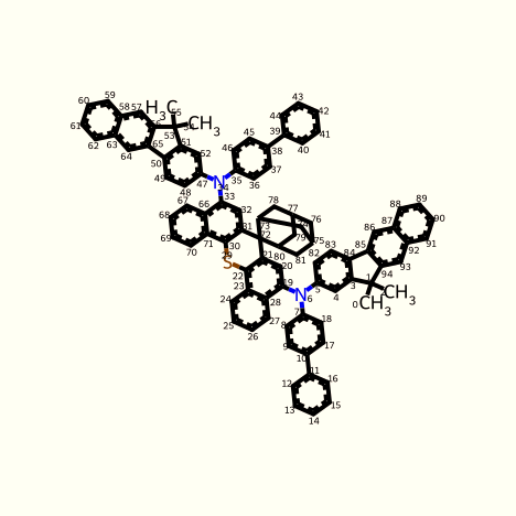 CC1(C)c2cc(N(c3ccc(-c4ccccc4)cc3)c3cc4c(c5ccccc35)Sc3c(cc(N(c5ccc(-c6ccccc6)cc5)c5ccc6c(c5)C(C)(C)c5cc7ccccc7cc5-6)c5ccccc35)C43C4CC5CC(C4)CC3C5)ccc2-c2cc3ccccc3cc21